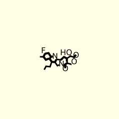 CCCc1c2c(nc3cc(F)c(C)cc13)-c1cc3c(c(=O)n1C2)COC(=O)C3O